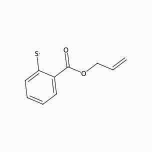 C=CCOC(=O)c1ccccc1[S]